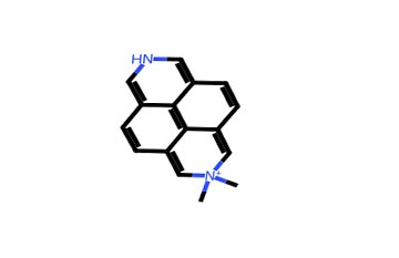 C[N+]1(C)C=c2ccc3c4c(ccc(c24)=C1)=CNC=3